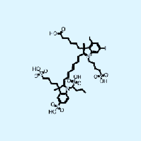 CCCC(N1\C(=C/C=C/C=C/C=C/C2=[N+](CCCCS(=O)(=O)O)c3cc(I)cc(I)c3C2(C)CCCCCC(=O)O)C(C)(CCCCS(=O)(=O)O)c2cc(S(=O)(=O)O)ccc21)S(=O)(=O)O